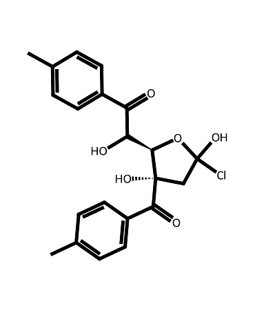 Cc1ccc(C(=O)C(O)[C@H]2OC(O)(Cl)C[C@@]2(O)C(=O)c2ccc(C)cc2)cc1